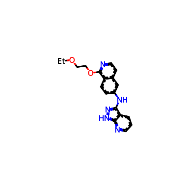 CCOCCOc1nccc2cc(Nc3n[nH]c4ncccc34)ccc12